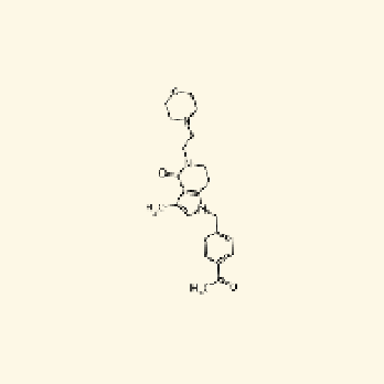 CC(=O)c1ccc(Cn2cc(C)c3c2CCN(CCN2CCOCC2)C3=O)cc1